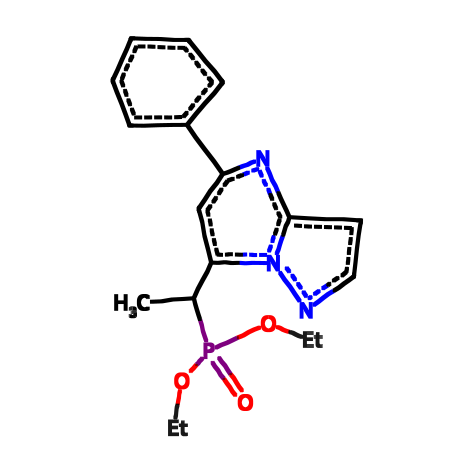 CCOP(=O)(OCC)C(C)c1cc(-c2ccccc2)nc2ccnn12